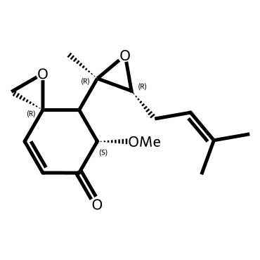 CO[C@@H]1C(=O)C=C[C@]2(CO2)C1[C@@]1(C)O[C@@H]1CC=C(C)C